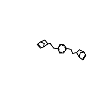 C1=CC2CC1CC2CCc1ccc(CCC2CC3C=CC2C3)cc1